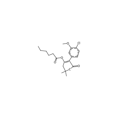 CCCCCC(=O)OC1=C(c2ccc(Cl)c(OC)c2)C(=O)CC(C)(C)C1